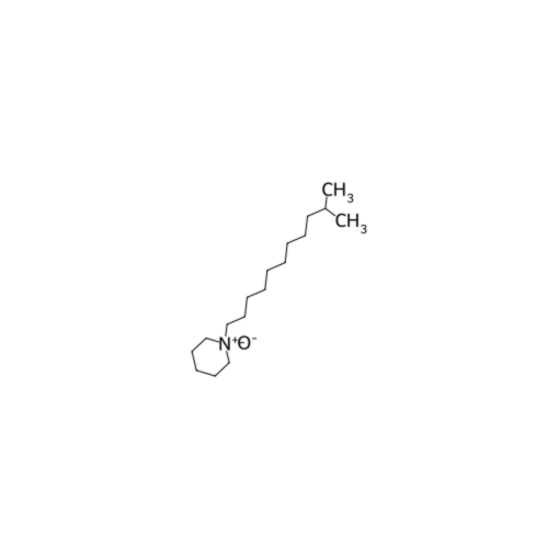 CC(C)CCCCCCCCC[N+]1([O-])CCCCC1